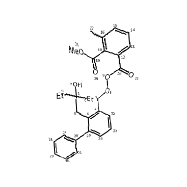 CCC(O)(CC)Cc1c(COOC(=O)c2cccc(C)c2C(=O)OC)cccc1-c1ccccc1